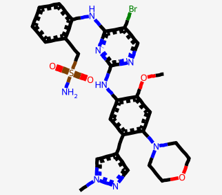 COc1cc(N2CCOCC2)c(-c2cnn(C)c2)cc1Nc1ncc(Br)c(Nc2ccccc2CS(N)(=O)=O)n1